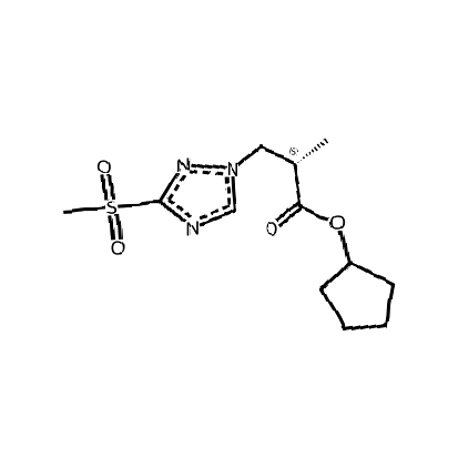 C[C@@H](Cn1cnc(S(C)(=O)=O)n1)C(=O)OC1CCCC1